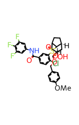 COc1ccc(COC[C@]2(O)CC3CC[C@@H](C2)[C@H]3S(=O)(=O)c2cc(C(=O)Nc3cc(F)c(F)c(F)c3)ccc2Cl)cc1